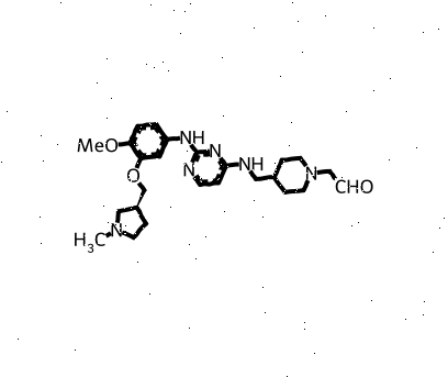 COc1ccc(Nc2nccc(NCC3CCN(CC=O)CC3)n2)cc1OC[C@H]1CCN(C)C1